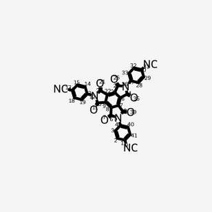 [C-]#[N+]c1ccc(-n2c(=O)c3c4c(=O)n(-c5ccc(C#N)cc5)c(=O)c4c4c(=O)n(-c5ccc([N+]#[C-])cc5)c(=O)c4c3c2=O)cc1